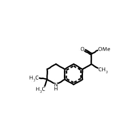 COC(=O)C(C)c1ccc2c(c1)CCC(C)(C)N2